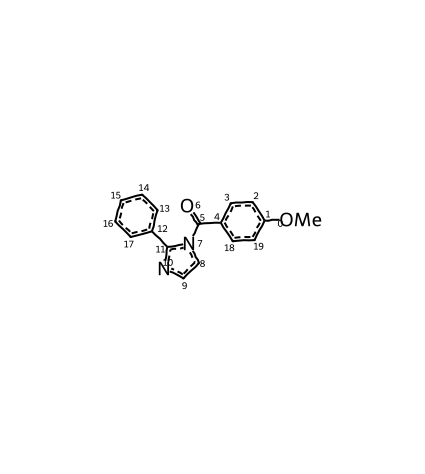 COc1ccc(C(=O)n2ccnc2-c2ccccc2)cc1